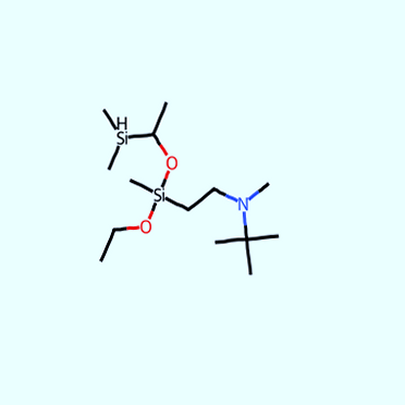 CCO[Si](C)(CCN(C)C(C)(C)C)OC(C)[SiH](C)C